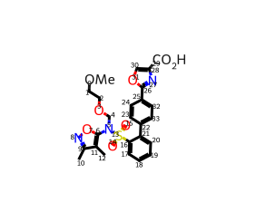 COCCOCN(c1onc(C)c1C)S(=O)(=O)c1ccccc1-c1ccc(-c2nc(C(=O)O)co2)cc1